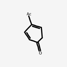 CC(=O)C1=CCC(=O)C=C1